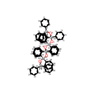 c1ccc([SiH](O[Si](O[Si](O[Si](O[Si](O[SiH](c2ccccc2)c2ccccc2)(c2ccccc2)c2ccccc2)(c2ccccc2)c2ccccc2)(c2ccccc2)c2ccccc2)(c2ccccc2)c2ccccc2)c2ccccc2)cc1